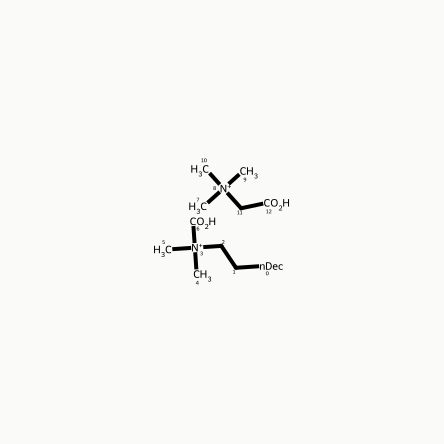 CCCCCCCCCCCC[N+](C)(C)C(=O)O.C[N+](C)(C)CC(=O)O